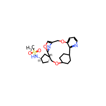 CS(=O)(=O)N[C@H]1CC[C@]2(COC3CCC(CC3)c3ncccc3OCc3coc2n3)C1